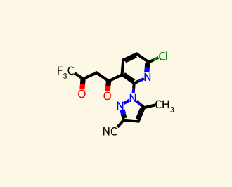 Cc1cc(C#N)nn1-c1nc(Cl)ccc1C(=O)CC(=O)C(F)(F)F